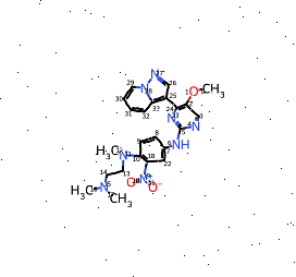 COc1cnc(Nc2ccc(N(C)CCN(C)C)c([N+](=O)[O-])c2)nc1-c1cnn2ccccc12